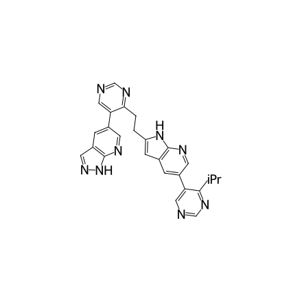 CC(C)c1ncncc1-c1cnc2[nH]c(CCc3ncncc3-c3cnc4[nH]ncc4c3)cc2c1